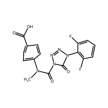 CN(C(=O)n1nnn(-c2c(F)cccc2F)c1=O)c1ccc(C(=O)O)cc1